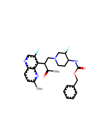 COC(=O)C(CN1CCC(NC(=O)OCc2ccccc2)C(F)C1)c1c(F)cnc2ccc(OC)nc12